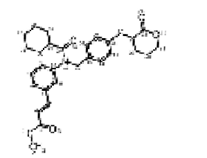 COC(=O)/C=C/c1cccc(N(Cc2ccc(CC3CCCOC3=O)cc2)C(=O)C2CCCCC2)c1